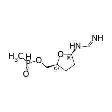 C[PH](=O)OC[C@@H]1CC[C@H](NC=N)O1